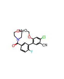 COCOc1cc(Cl)c(C#N)cc1-c1cc(C(=O)N2CCOCC2)ccc1F